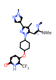 C=N/C(=C\c1c(C)c(-c2cnn(C)c2)nn1C1CCC(Oc2ccc(=O)[nH]c2C(F)(F)F)CC1)NC